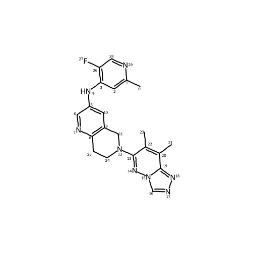 Cc1cc(Nc2cnc3c(c2)CN(c2nn4cnnc4c(C)c2C)CC3)c(F)cn1